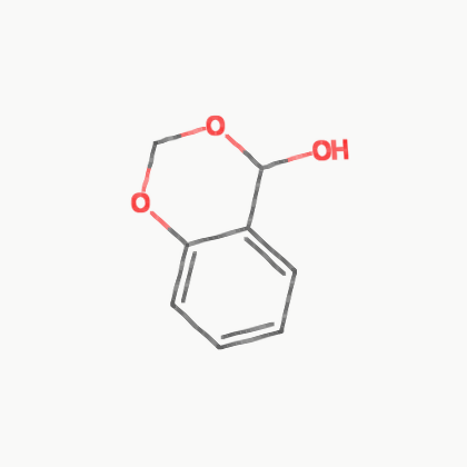 OC1OCOc2ccccc21